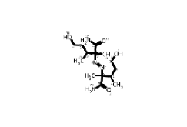 CC(CCO)C(C)(N=NC(C)(C(N)=O)C(C)CCO)C(N)=O